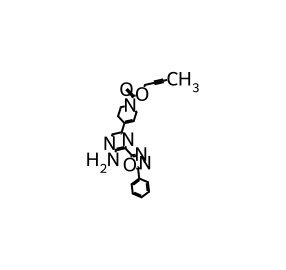 CC#CCOC(=O)N1CC=C(c2cnc(N)c(-c3nnc(-c4ccccc4)o3)n2)CC1